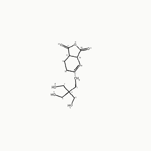 CCC(CO)(CO)CO.O=C1OC(=O)C2CCC=CC12